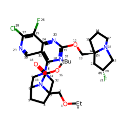 CCOCC12CCC(CN(c3nc(OC[C@@]45CCCN4C[C@H](F)C5)nc4c(F)c(Cl)ncc34)C1)N2C(=O)OC(C)(C)C